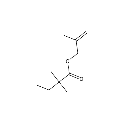 C=C(C)COC(=O)C(C)(C)CC